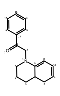 O=C(CN1CCCC2CC=CC=C21)c1ccccc1